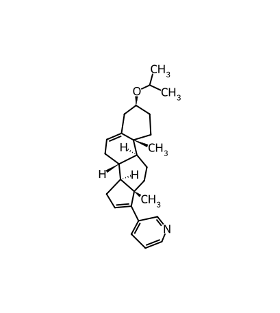 CC(C)O[C@H]1CC[C@@]2(C)C(=CC[C@@H]3[C@@H]2CC[C@]2(C)C(c4cccnc4)=CC[C@@H]32)C1